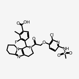 Cc1c(C(=O)O)ccc(C2c3c(nc4n3CCCC4)CCN2C(=O)COc2ccc(NS(C)(=O)=O)nc2Cl)c1F